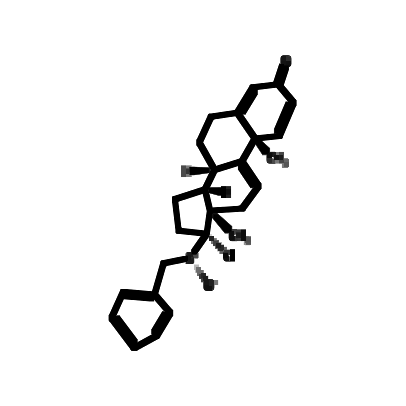 C[C@]12C=CC(=O)C=C1CC[C@@H]1C2=CC[C@@]2(C)[C@@H]1CC[C@]2(Cl)[S@+]([O-])Cc1ccccc1